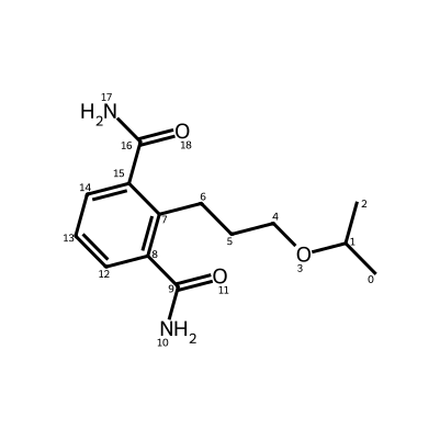 CC(C)OCCCc1c(C(N)=O)cccc1C(N)=O